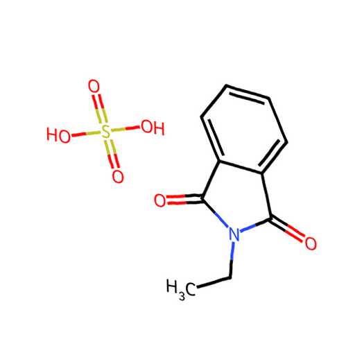 CCN1C(=O)c2ccccc2C1=O.O=S(=O)(O)O